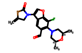 C=C1CN(c2coc3c(F)c(N4C[C@@H](C)O[C@H](C)C4)c(C=O)cc23)C(=O)S1